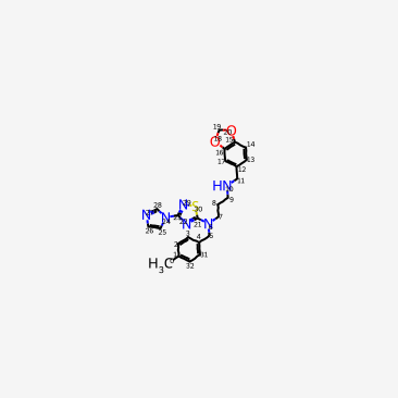 Cc1ccc(CN(CCCNCc2ccc3c(c2)OCO3)c2nc(-n3ccnc3)ns2)cc1